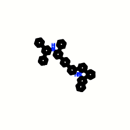 c1ccc(-c2cc(Nc3ccc(-c4ccc(-c5cccc(-c6cccc7c6Nc6cc8ccccc8cc6-c6ccccc6-7)c5)cc4)cc3-c3ccccc3)cc(-c3ccccc3)c2)cc1